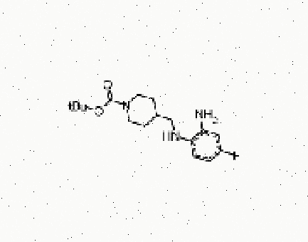 CC(C)(C)OC(=O)N1CCC(CNc2ccc(F)cc2N)CC1